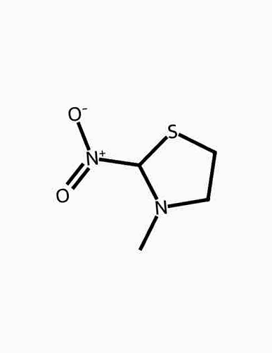 CN1CCSC1[N+](=O)[O-]